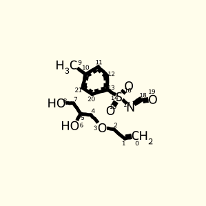 C=CCOCC(O)CO.Cc1ccc(S(=O)(=O)N=C=O)cc1